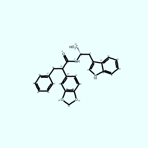 O=C(N[C@@H](Cc1c[nH]c2ccccc12)C(=O)O)C(Cc1ccccc1)c1ccc2c(c1)OCO2